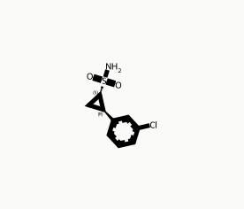 NS(=O)(=O)[C@H]1C[C@@H]1c1cccc(Cl)c1